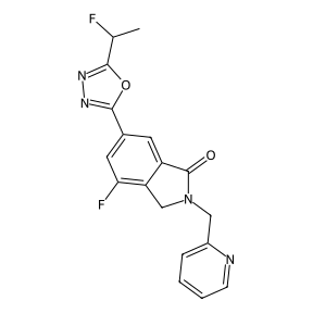 CC(F)c1nnc(-c2cc(F)c3c(c2)C(=O)N(Cc2ccccn2)C3)o1